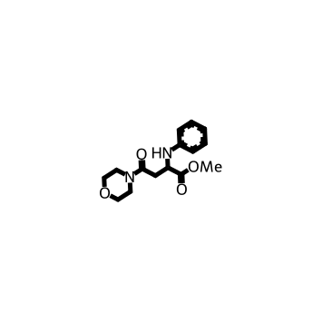 COC(=O)C(CC(=O)N1CCOCC1)Nc1ccccc1